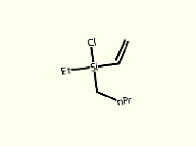 C=C[Si](Cl)(CC)CCCC